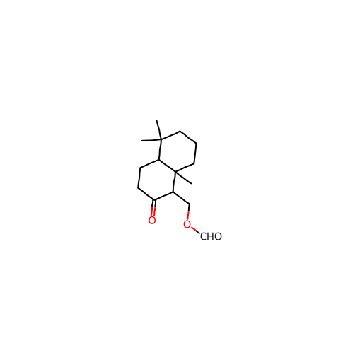 CC1(C)CCCC2(C)C(COC=O)C(=O)CCC12